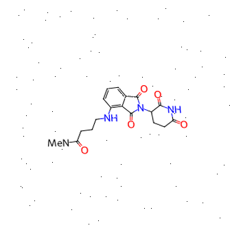 CNC(=O)CCCNc1cccc2c1C(=O)N(C1CCC(=O)NC1=O)C2=O